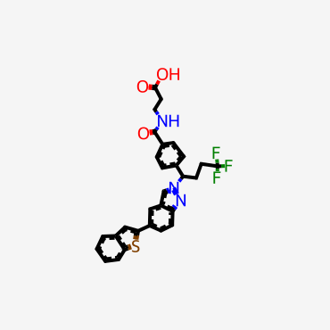 O=C(O)CCNC(=O)c1ccc(C(CCC(F)(F)F)n2cc3cc(-c4cc5ccccc5s4)ccc3n2)cc1